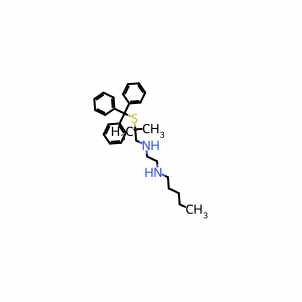 CCCCCNCCNCC(C)(C)SC(c1ccccc1)(c1ccccc1)c1ccccc1